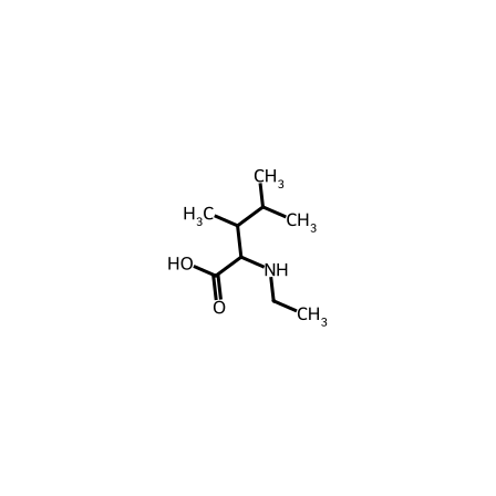 CCNC(C(=O)O)C(C)C(C)C